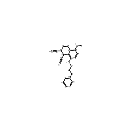 COc1ccc(OCCCc2ccccc2)c2c1CCC(C#N)C2C#N